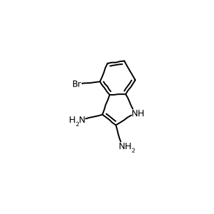 Nc1[nH]c2cccc(Br)c2c1N